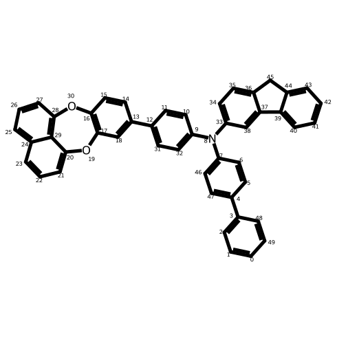 c1ccc(-c2ccc(N(c3ccc(-c4ccc5c(c4)Oc4cccc6cccc(c46)O5)cc3)c3ccc4c(c3)-c3ccccc3C4)cc2)cc1